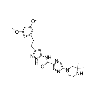 COc1cc(CCc2cc(NC(=O)c3cnc(N4CCNC(C)(C)C4)cn3)[nH]n2)cc(OC)c1